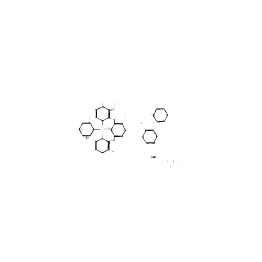 COC(=O)Oc1ccc(C[S+](C)c2ccccc2)cc1.Fc1c(F)c(F)c([B-](c2ccccc2)(c2c(F)c(F)c(F)c(F)c2F)c2c(F)c(F)c(F)c(F)c2F)c(F)c1F